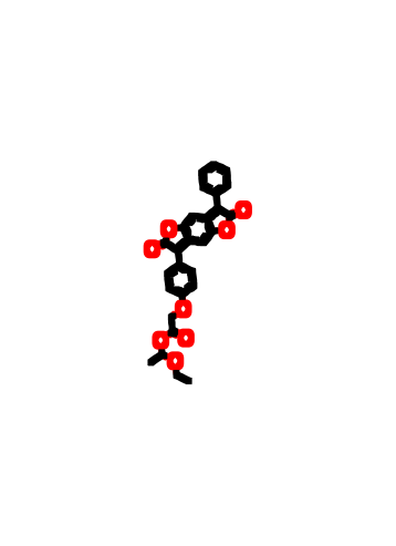 CCOC(C)OC(=O)COc1ccc(C2=c3cc4c(cc3OC2=O)=C(c2ccccc2)C(=O)O4)cc1